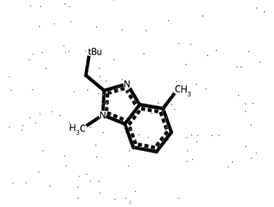 Cc1cccc2c1nc(CC(C)(C)C)n2C